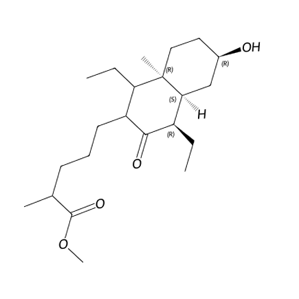 CCC1C(CCCC(C)C(=O)OC)C(=O)[C@H](CC)[C@@H]2C[C@H](O)CC[C@]12C